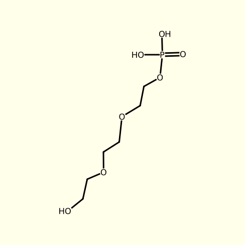 O=P(O)(O)OCCOCCOCCO